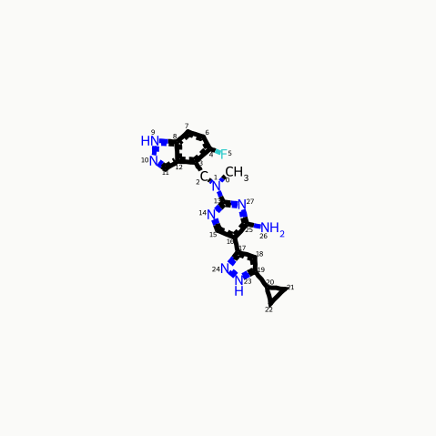 CN(Cc1c(F)ccc2[nH]ncc12)c1ncc(-c2cc(C3CC3)[nH]n2)c(N)n1